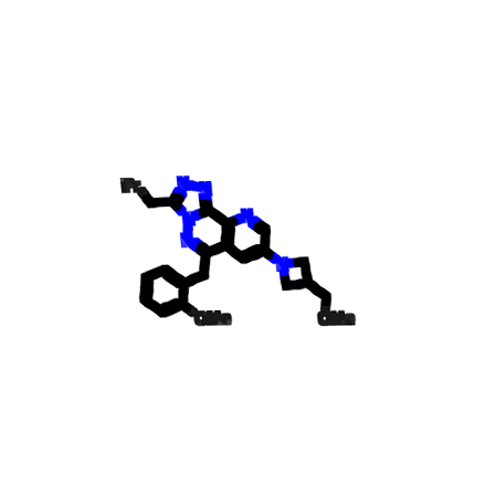 COCC1CN(c2cnc3c(c2)c(Cc2ccccc2OC)nn2c(CC(C)C)nnc32)C1